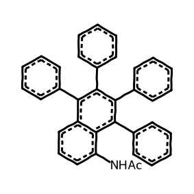 CC(=O)Nc1cccc2c(-c3ccccc3)c(-c3ccccc3)c(-c3ccccc3)c(-c3ccccc3)c12